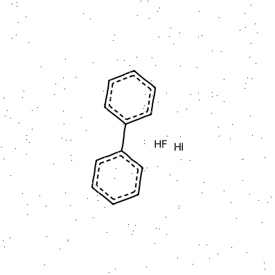 F.I.c1ccc(-c2ccccc2)cc1